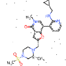 C[C@@H]1CN(S(C)(=O)=O)CCN1Cc1cc2c(=O)n(C)cc(-c3cccnc3NCC3CC3)c2o1